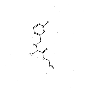 CCOC(=O)C(C)NCc1cccc(F)c1